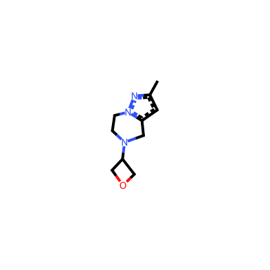 Cc1cc2n(n1)CCN(C1COC1)C2